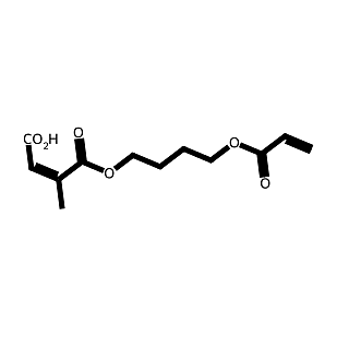 C=CC(=O)OCCCCOC(=O)/C(C)=C\C(=O)O